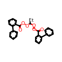 [CH2]C[C](OOC(=O)c1ccccc1-c1ccccc1)OOC(=O)c1ccccc1-c1ccccc1